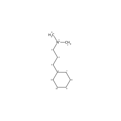 C[N+](C)CCCC1CCCCC1